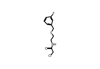 O=C(CCl)NCCSCc1cccc(F)c1